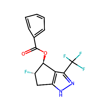 O=C(O[C@H]1c2c(C(F)(F)F)n[nH]c2C[C@@H]1F)c1ccccc1